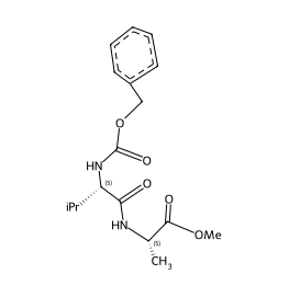 COC(=O)[C@H](C)NC(=O)[C@@H](NC(=O)OCc1ccccc1)C(C)C